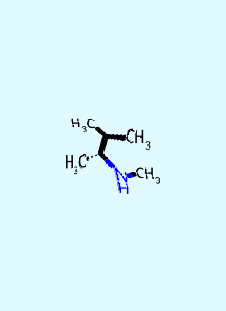 CN[C@H](C)C(C)C